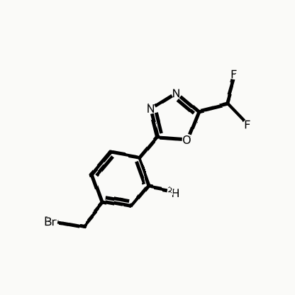 [2H]c1cc(CBr)ccc1-c1nnc(C(F)F)o1